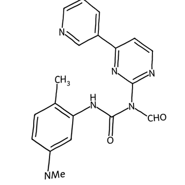 CNc1ccc(C)c(NC(=O)N(C=O)c2nccc(-c3cccnc3)n2)c1